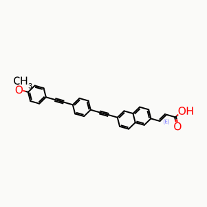 COc1ccc(C#Cc2ccc(C#Cc3ccc4cc(/C=C/C(=O)O)ccc4c3)cc2)cc1